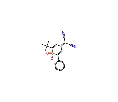 CC(C)(C)C1=CC(=C(C#N)C#N)C=C(c2ccccc2)S1(=O)=O